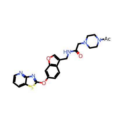 CC(=O)N1CCN(CC(=O)NCc2coc3cc(Oc4nc5ncccc5s4)ccc23)CC1